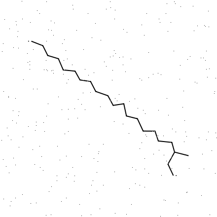 [CH2]CCCCCCCCCCCCCCCCCC(C)C[CH2]